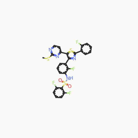 CSc1nccc(-c2sc(-c3ccccc3F)nc2-c2cccc(NS(=O)(=O)c3c(F)cccc3F)c2F)n1